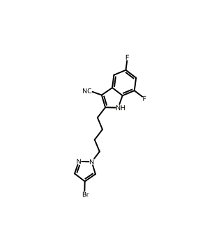 N#Cc1c(CCCCn2cc(Br)cn2)[nH]c2c(F)cc(F)cc12